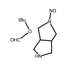 CC(C)(C)OC=O.O=NN1CC2CNCC2C1